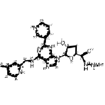 CNNC(=O)[C@@H]1C[C@@H](O)[C@H](n2cnc3c(NCc4cc(C)ccn4)nc(-c4cccnc4)nc32)O1